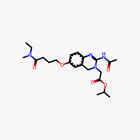 CCN(C)C(=O)CCCOc1ccc2c(c1)CN(CC(=O)OC(C)C)C(NC(C)=O)=N2